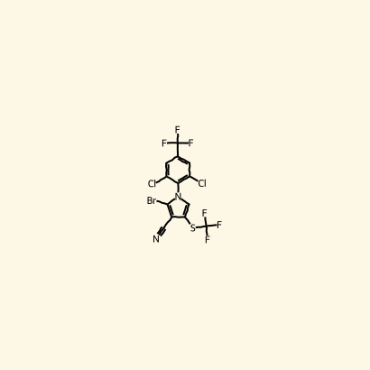 N#Cc1c(SC(F)(F)F)cn(-c2c(Cl)cc(C(F)(F)F)cc2Cl)c1Br